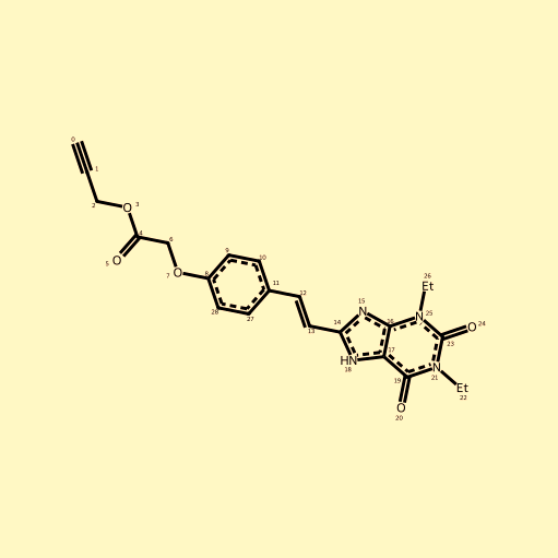 C#CCOC(=O)COc1ccc(/C=C/c2nc3c([nH]2)c(=O)n(CC)c(=O)n3CC)cc1